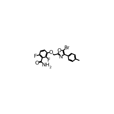 Cc1ccc(-c2nc(COc3ccc(F)c(C(N)=O)c3F)oc2Br)cc1